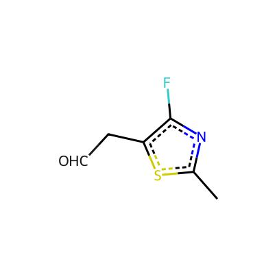 Cc1nc(F)c(CC=O)s1